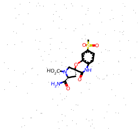 CS(=O)(=O)c1ccc2c(c1)O[C@@]1(C[C@@H](C(N)=O)N(C(=O)O)C1)C(=O)N2